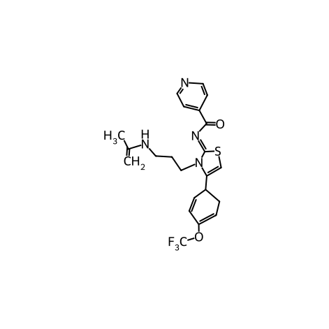 C=C(C)NCCCn1c(C2C=CC(OC(F)(F)F)=CC2)cs/c1=N\C(=O)c1ccncc1